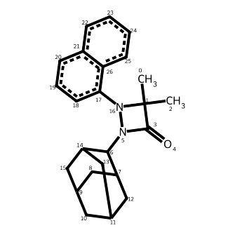 CC1(C)C(=O)N(C2C3CC4CC(C3)CC2C4)N1c1cccc2ccccc12